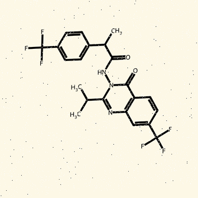 CC(C)c1nc2cc(C(F)(F)F)ccc2c(=O)n1NC(=O)C(C)c1ccc(C(F)(F)F)cc1